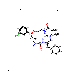 COC(=O)NCCO[C@H](CCN(C)C(=O)N[C@H](CC1CCCCC1)CN(C)C(=O)O)c1cccc(Cl)c1